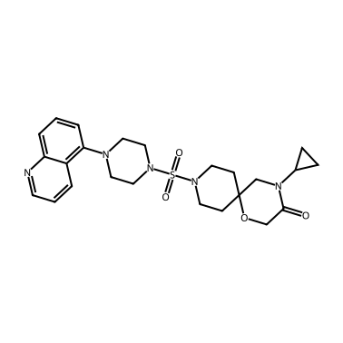 O=C1COC2(CCN(S(=O)(=O)N3CCN(c4cccc5ncccc45)CC3)CC2)CN1C1CC1